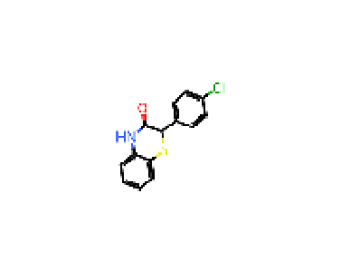 O=C1Nc2ccccc2SC1c1ccc(Cl)cc1